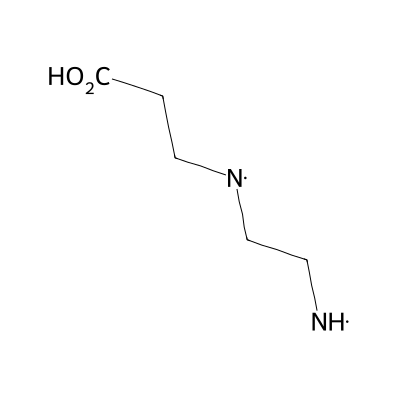 [NH]CC[N]CCC(=O)O